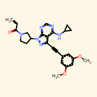 C=CC(=O)N1CCC(n2nc(C#Cc3cc(OC)cc(OC)c3)c3c(NC4CC4)ncnc32)C1